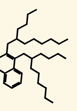 CCCCCCC(CCCC)Cc1ccc2ccccc2c1CC(CCCC)CCCCCC